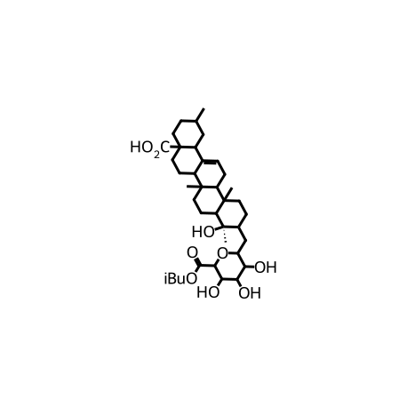 CC(C)COC(=O)C1OC(CC2CCC3(C)C4CC=C5C6CC(C)CCC6(C(=O)O)CCC5C4(C)CCC3[C@]2(C)O)C(O)C(O)C1O